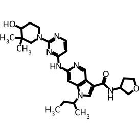 CCC(C)n1cc(C(=O)NC2CCOC2)c2cnc(Nc3ccnc(N4CCC(O)C(C)(C)C4)n3)cc21